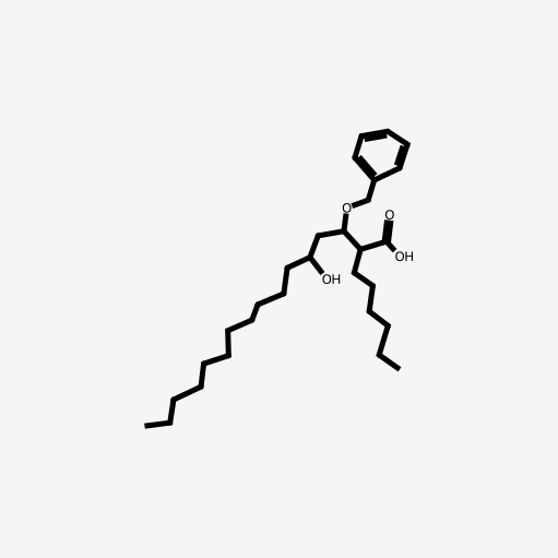 CCCCCCCCCCCC(O)CC(OCc1ccccc1)C(CCCCCC)C(=O)O